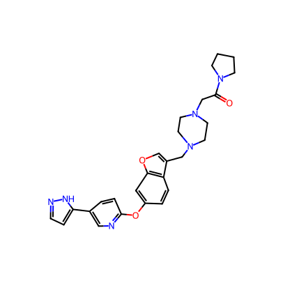 O=C(CN1CCN(Cc2coc3cc(Oc4ccc(-c5ccn[nH]5)cn4)ccc23)CC1)N1CCCC1